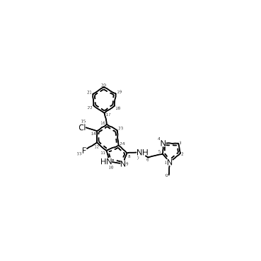 Cn1ccnc1CNc1n[nH]c2c(F)c(Cl)c(-c3ccccc3)cc12